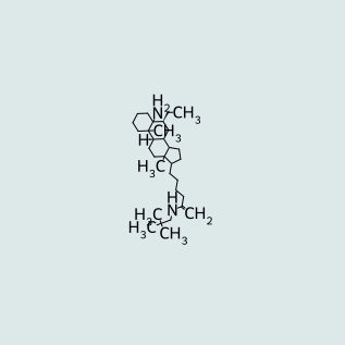 C=C(CCCCC1CCC2C3C[C@H](CC)C4(N)CCCCC4(C)[C@H]3CCC12C)NCC(C)(C)C